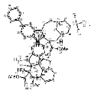 CC[C@]12C=CCN3CC[C@@]4(c5cc([C@@]6(C(=O)OC)C[C@@H]7C[C@@H](C(C)(F)F)C[N@](CCc8c6[nH]c6ccc(-c9ccncc9)cc86)C7)c(OC)cc5N(C)[C@H]4[C@@](O)(C(=O)OC)[C@@H]1OC(C)=O)[C@@H]32